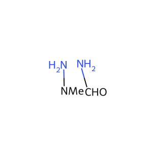 CNN.NC=O